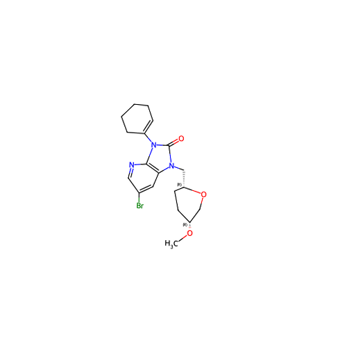 CO[C@@H]1CC[C@H](Cn2c(=O)n(C3=CCCCC3)c3ncc(Br)cc32)OC1